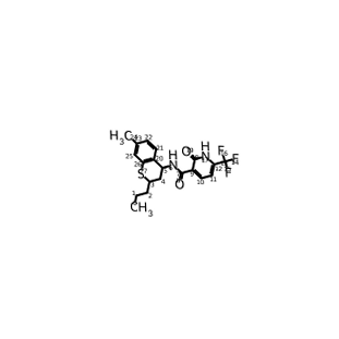 CCCC1CC(NC(=O)c2ccc(C(F)(F)F)[nH]c2=O)c2ccc(C)cc2S1